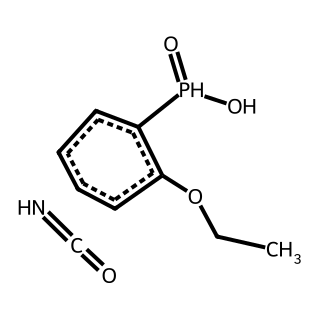 CCOc1ccccc1[PH](=O)O.N=C=O